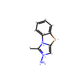 Cc1n2c(c[n+]1N)sc1ccccc12